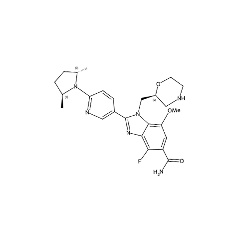 COc1cc(C(N)=O)c(F)c2nc(-c3ccc(N4[C@@H](C)CC[C@@H]4C)nc3)n(C[C@@H]3CNCCO3)c12